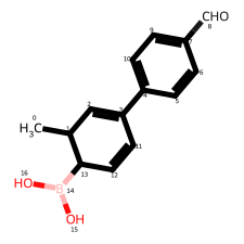 CC1C=C(c2ccc(C=O)cc2)C=CC1B(O)O